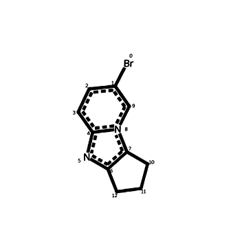 Brc1ccc2nc3c(n2c1)CCC3